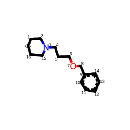 [CH]1CCN(CCCOCc2ccccc2)CC1